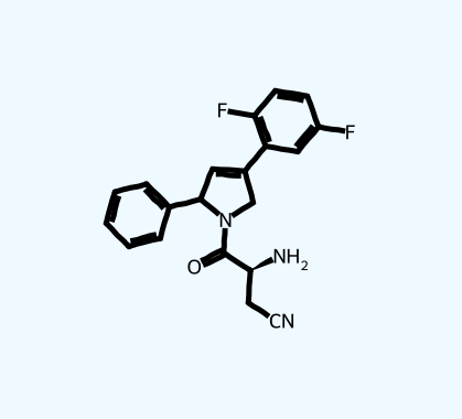 N#CC[C@H](N)C(=O)N1CC(c2cc(F)ccc2F)=CC1c1ccccc1